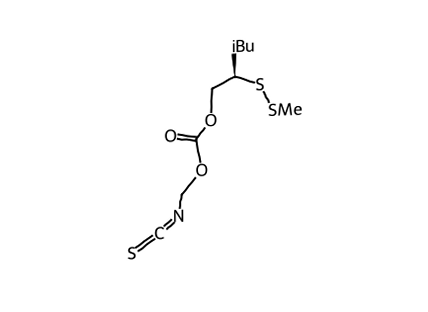 CCC(C)[C@H](COC(=O)OCN=C=S)SSC